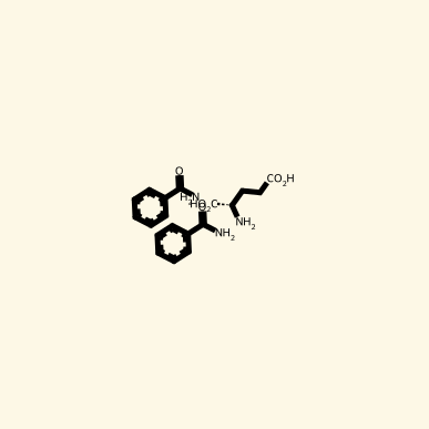 NC(=O)c1ccccc1.NC(=O)c1ccccc1.N[C@@H](CCC(=O)O)C(=O)O